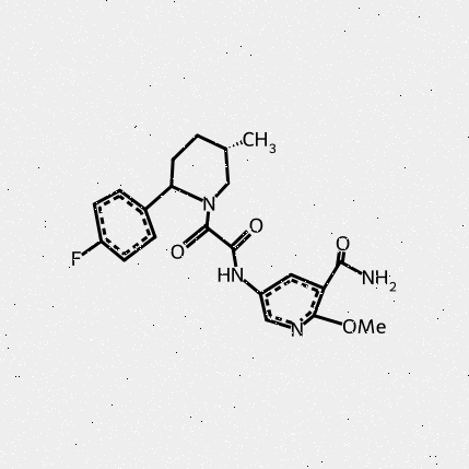 COc1ncc(NC(=O)C(=O)N2C[C@@H](C)CCC2c2ccc(F)cc2)cc1C(N)=O